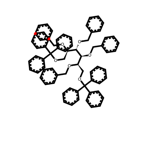 c1ccc(CO[C@H]([C@@H](OCc2ccccc2)[C@@H](COC(c2ccccc2)(c2ccccc2)c2ccccc2)OCc2ccccc2)[C@@H](COC(c2ccccc2)(c2ccccc2)c2ccccc2)OCc2ccccc2)cc1